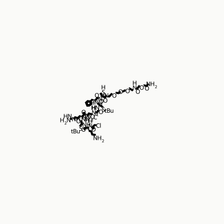 CC(C)(C)SCC(NC(=O)[C@H](CCCCN)NC(=O)CCl)C(=O)N[C@@H](CCCNC(=N)N)C(=O)NCC(=O)N[C@@H](CC(=O)O)C(=O)NC(CSC(C)(C)C)C(=O)N[C@@H](Cc1ccccc1)C(=O)NC(CS)C(=O)NCCOCCOCCOCCNC(=O)COCC(N)=O